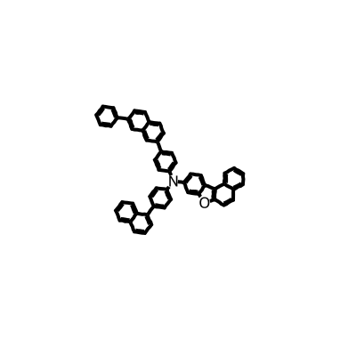 c1ccc(-c2ccc3ccc(-c4ccc(N(c5ccc(-c6cccc7ccccc67)cc5)c5ccc6c(c5)oc5ccc7ccccc7c56)cc4)cc3c2)cc1